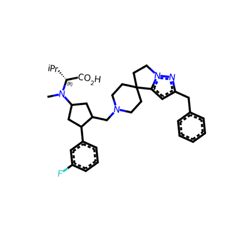 CC(C)[C@H](C(=O)O)N(C)C1CC(CN2CCC3(CC2)CCn2nc(Cc4ccccc4)cc23)C(c2cccc(F)c2)C1